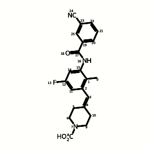 Cc1c(C=C2CCN(C(=O)O)CC2)cc(F)cc1NC(=O)c1cccc(C#N)c1